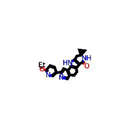 CCOc1ccc(-c2cc3c(cn2)CCc2c-3[nH]c3c2C(=O)NC2(CC2)C3)cn1